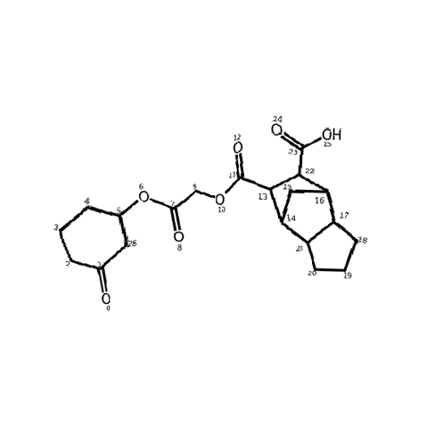 O=C1CCCC(OC(=O)COC(=O)C2C3CC(C4CCCC43)C2C(=O)O)C1